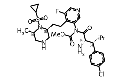 COC(=O)N(C(=O)[C@@H](N)[C@@H](c1ccc(Cl)cc1)C(C)C)c1cncc(F)c1CC[C@H]1CNC[C@@H](C)N1S(=O)(=O)C1CC1